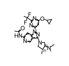 CC(=O)Nc1cc2c(cn1)c(N1C[C@@H](N(C)C)[C@@H](C)C1)nn2-c1cc(OC2CC2)nc(C(C)(F)F)n1